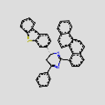 c1ccc(C2=NC(c3cccc4ccc5c6ccccc6ccc5c34)=N[C@@H](c3ccc4c(c3)sc3ccccc34)C2)cc1